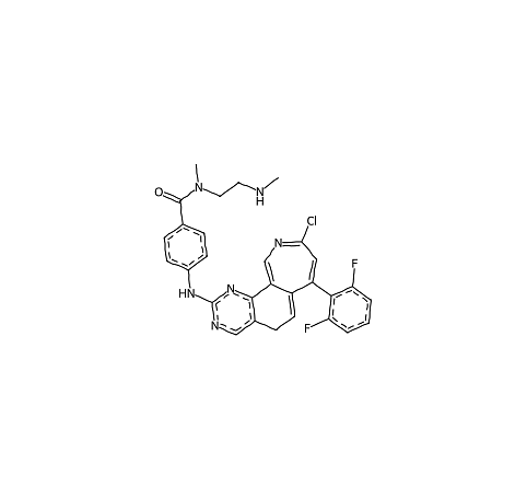 CNCCN(C)C(=O)c1ccc(Nc2ncc3c(n2)C2=CN=C(Cl)C=C(c4c(F)cccc4F)C2=CC3)cc1